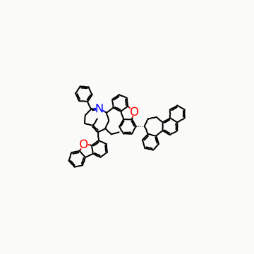 CCC1CC(c2cccc3oc4c([C@@H]5CCc6c(ccc7ccccc67)-c6ccccc65)cccc4c23)/N=C(/c2ccccc2)CC/C(C)=C/1c1cccc2c1oc1ccccc12